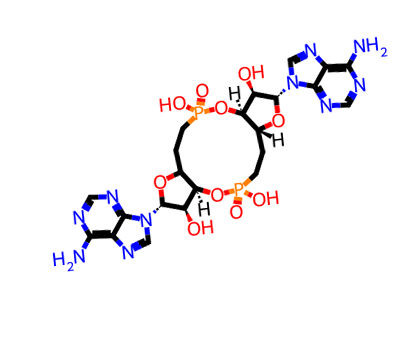 Nc1ncnc2c1ncn2[C@@H]1O[C@@H]2CCP(=O)(O)O[C@@H]3C(CCP(=O)(O)O[C@H]2[C@H]1O)O[C@@H](n1cnc2c(N)ncnc21)[C@@H]3O